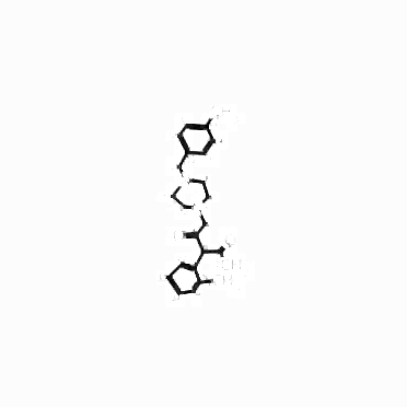 CC(=O)C(C(=O)CN1CCN(Cc2ccc(C)cc2)CC1)c1ccccc1C